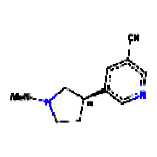 CNN1CC[C@H](c2cncc(C#N)c2)C1